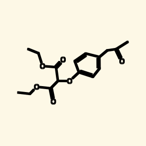 CCOC(=O)C(Oc1ccc(CC(C)=O)cc1)C(=O)OCC